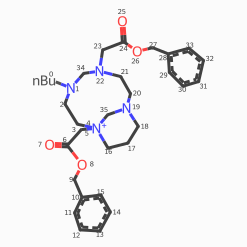 CCCCN1CC[N+]2(CC(=O)OCc3ccccc3)CCCN(CCN(CC(=O)OCc3ccccc3)C1)C2